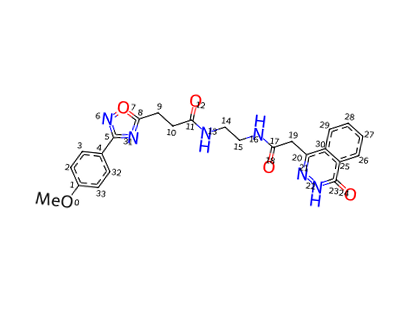 COc1ccc(-c2noc(CCC(=O)NCCNC(=O)Cc3n[nH]c(=O)c4ccccc34)n2)cc1